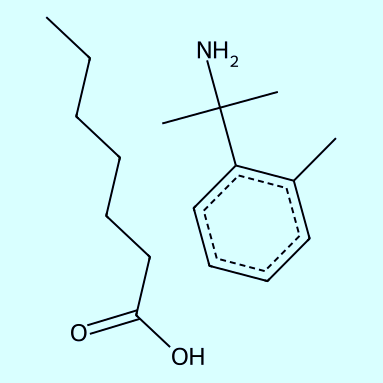 CCCCCCC(=O)O.Cc1ccccc1C(C)(C)N